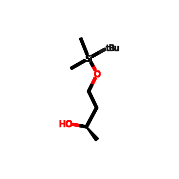 C[C@@H](O)CCO[Si](C)(C)C(C)(C)C